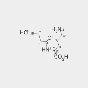 C#CCCC(=O)N[C@@H](CCCN)C(=O)O